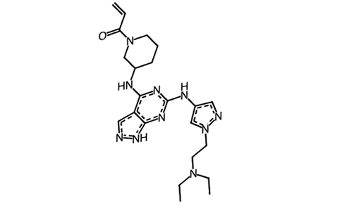 C=CC(=O)N1CCCC(Nc2nc(Nc3cnn(CCN(CC)CC)c3)nc3[nH]ncc23)C1